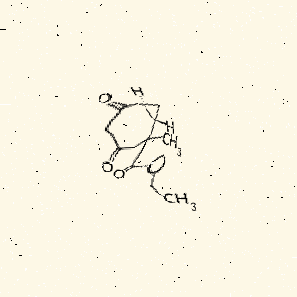 CCOC(=O)C1(C)C(=O)CC(=O)[C@H]2C[C@@H]21